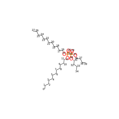 CCCCCCCCCCCCOP(=O)(OCCCCCCCCCCCC)P(=O)(OCCCC)OCCCC